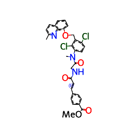 COC(=O)c1ccc(/C=C/C(=O)NCC(=O)N(C)c2ccc(Cl)c(COc3cccc4ccc(C)nc34)c2Cl)cc1